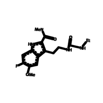 CCNC(=O)NCCc1c(C(=O)NC)[nH]c2cc(F)c(OC)cc12